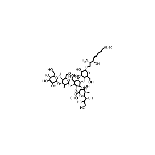 CCCCCCCCCCCCC/C=C/[C@@H](O)[C@@H](N)CO[C@@H]1OC(CO)[C@@H](O[C@@H]2OC(CO)[C@H](O[C@@H]3OC(CO)[C@H](O)[C@H](O[C@@H]4OC(CO)[C@H](O)[C@H](O)C4O)C3C)[C@H](O[C@]3(OC=O)C[C@@H](O)[C@@H](C)C([C@H](O)[C@H](O)CO)O3)C2O)[C@H](O)C1O